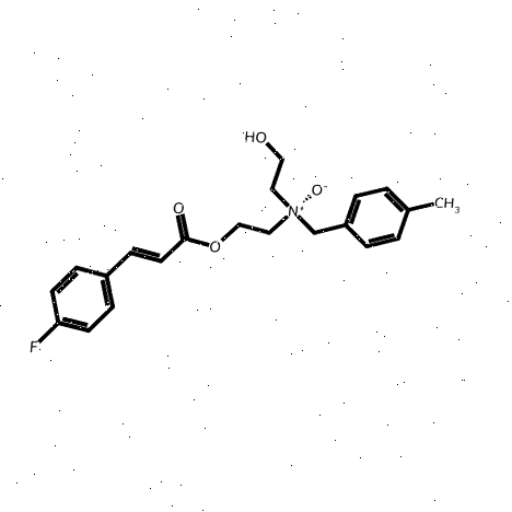 Cc1ccc(C[N@+]([O-])(CCO)CCOC(=O)/C=C/c2ccc(F)cc2)cc1